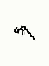 CCCCCCc1ccc(-c2cccs2)[nH]1